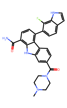 CN1CCN(C(=O)c2ccc3c(c2)[nH]c2c(C(N)=O)ccc(-c4ccc5cc[nH]c5c4F)c23)CC1